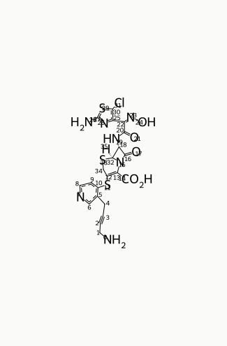 NCC#CCc1cnccc1SC1=C(C(=O)O)N2C(=O)[C@@H](NC(=O)/C(=N\O)c3nc(N)sc3Cl)[C@@H]2SC1